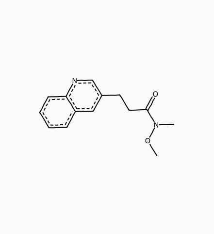 CON(C)C(=O)CCc1cnc2ccccc2c1